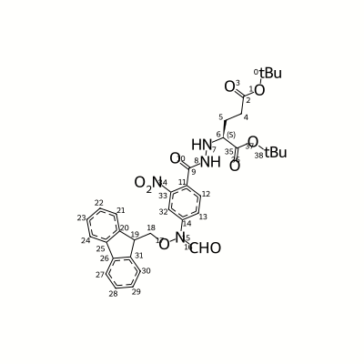 CC(C)(C)OC(=O)CC[C@H](NNC(=O)c1ccc(N(C=O)OCC2c3ccccc3-c3ccccc32)cc1[N+](=O)[O-])C(=O)OC(C)(C)C